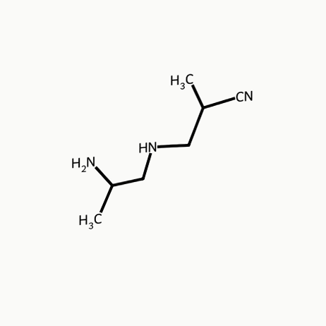 CC(N)CNCC(C)C#N